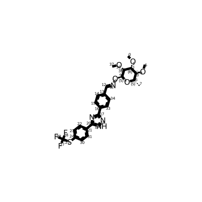 CO[C@@H]1[C@@H](OC)[C@H](C)O[C@@H](ON=Cc2ccc(-c3n[nH]c(-c4ccc(SC(F)(F)F)cc4)n3)cc2)[C@@H]1OC